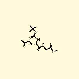 COC(=O)CNC(=O)[C@H](CCC(C)=O)NC(=O)OC(C)(C)C